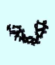 CN1C(=O)COc2cc(-c3ccc(Cn4cnn(CC(CN)=C(F)F)c4=O)s3)ccc21